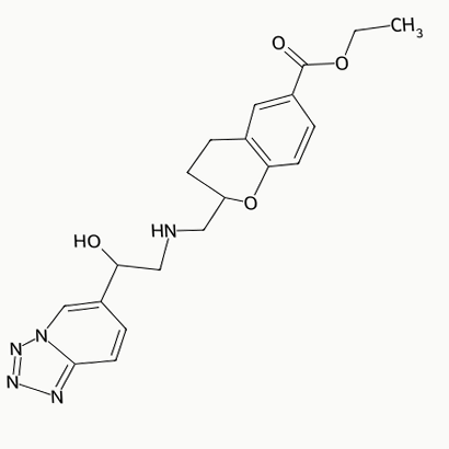 CCOC(=O)c1ccc2c(c1)CCC(CNCC(O)c1ccc3nnnn3c1)O2